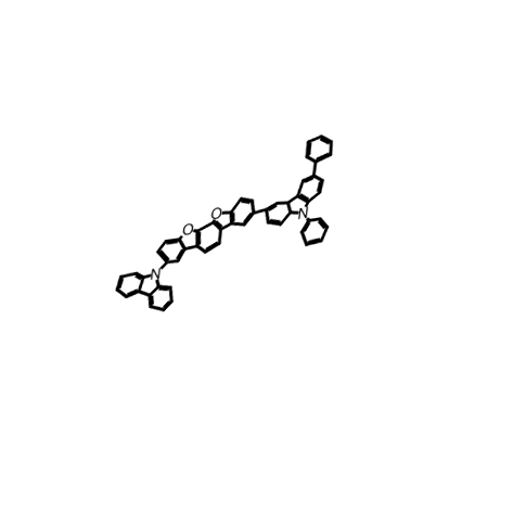 C1=CC2C(C=C1c1ccc3oc4c(ccc5c6cc(-n7c8ccccc8c8ccccc87)ccc6oc54)c3c1)c1cc(-c3ccccc3)ccc1N2c1ccccc1